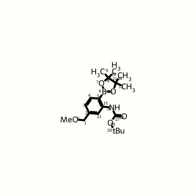 COCc1ccc(B2OC(C)(C)C(C)(C)O2)c(NC(=O)OC(C)(C)C)c1